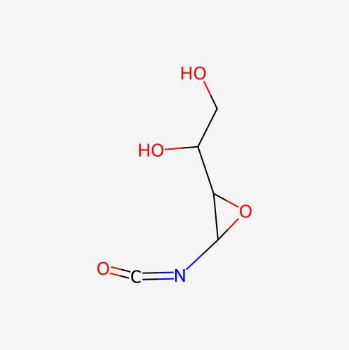 O=C=NC1OC1C(O)CO